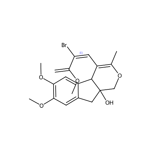 C=C(OC)/C(Br)=C\C1=C(C)OCC2(O)Cc3cc(OC)c(OC)cc3C12